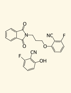 N#Cc1c(F)cccc1OCCCN1C(=O)c2ccccc2C1=O.N#Cc1c(O)cccc1F